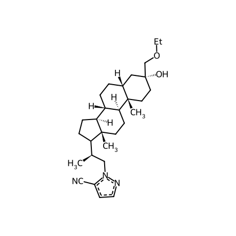 CCOC[C@@]1(O)CC[C@@]2(C)[C@H](CC[C@@H]3[C@@H]2CC[C@]2(C)C([C@H](C)Cn4nccc4C#N)CC[C@@H]32)C1